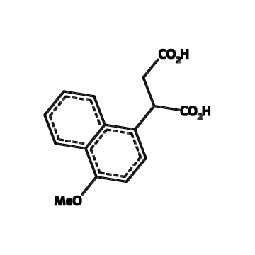 COc1ccc(C(CC(=O)O)C(=O)O)c2ccccc12